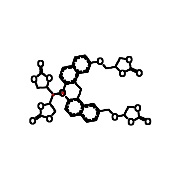 O=C1OCC(COc2ccc3ccc(OCC4COC(=O)O4)c(Cc4c(OCC5COC(=O)O5)ccc5ccc(COC6COC(=O)O6)cc45)c3c2)O1